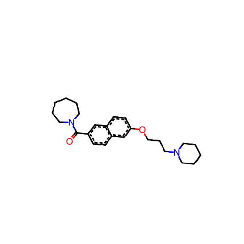 O=C(c1ccc2cc(OCCCN3CCCCC3)ccc2c1)N1CCCCCC1